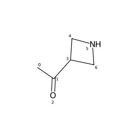 CC(=O)C1CNC1